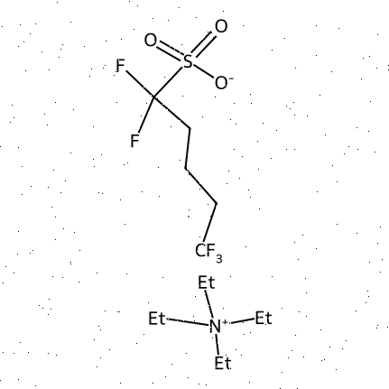 CC[N+](CC)(CC)CC.O=S(=O)([O-])C(F)(F)CCCC(F)(F)F